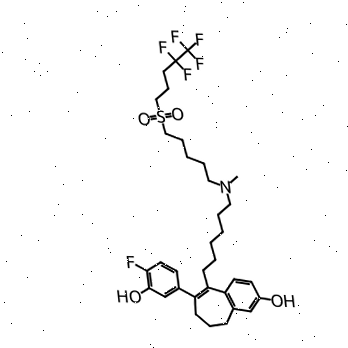 CN(CCCCCCC1=C(c2ccc(F)c(O)c2)CCCc2cc(O)ccc21)CCCCCS(=O)(=O)CCCC(F)(F)C(F)(F)F